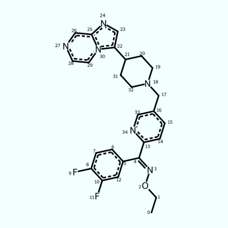 CCON=C(c1ccc(F)c(F)c1)c1ccc(CN2CCC(c3cnc4cnccn34)CC2)cn1